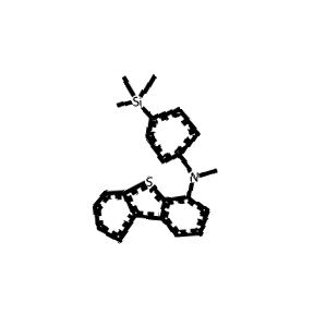 CN(c1ccc([Si](C)(C)C)cc1)c1cccc2c1sc1ccccc12